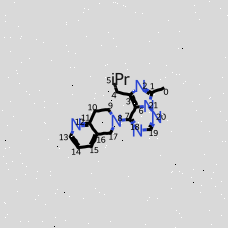 Cc1nc(CC(C)C)c2c(N3CCc4ncccc4C3)ncnn12